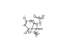 CCCC(C)C1(CC)C(=O)N=C([O-])NC1=O.O=[PH]([O-])[O-].[Na+].[Ni+2]